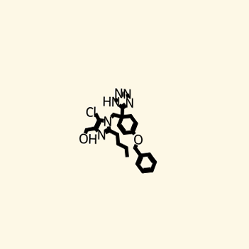 CCCCc1nc(CO)c(Cl)n1CC1(c2nnn[nH]2)C=CC(OCc2ccccc2)=CC1